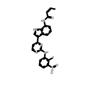 C/C=C\C(=O)Nc1cccc2c(-c3ccnc(Nc4cccc([SH](=O)=O)c4F)n3)c[nH]c12